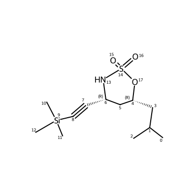 CC(C)C[C@@H]1C[C@H](C#C[Si](C)(C)C)NS(=O)(=O)O1